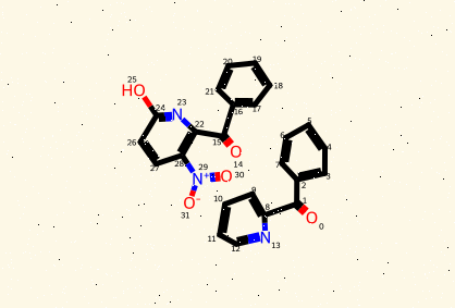 O=C(c1ccccc1)c1ccccn1.O=C(c1ccccc1)c1nc(O)ccc1[N+](=O)[O-]